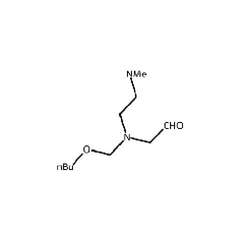 CCCCOCN(CC=O)CCNC